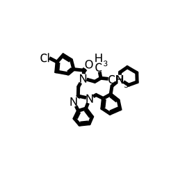 CC(C)CN(Cc1nc2ccccc2n1Cc1ccccc1CN1CCCCC1)C(=O)c1ccc(Cl)cc1